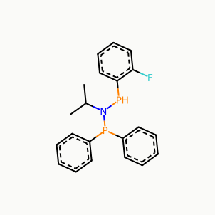 CC(C)N(Pc1ccccc1F)P(c1ccccc1)c1ccccc1